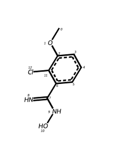 COc1cccc(C(=N)NO)c1Cl